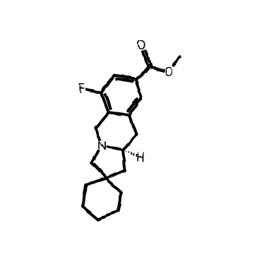 COC(=O)c1cc(F)c2c(c1)C[C@H]1CC3(CCCCC3)CN1C2